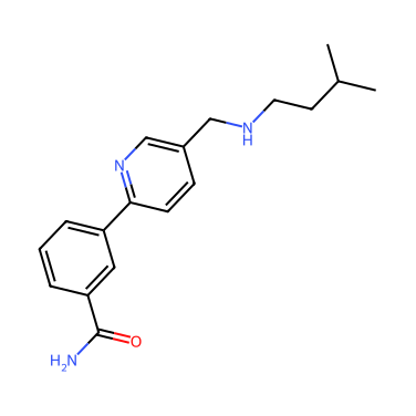 CC(C)CCNCc1ccc(-c2cccc(C(N)=O)c2)nc1